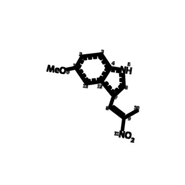 COc1ccc2[nH]cc(/C=C(\C)[N+](=O)[O-])c2c1